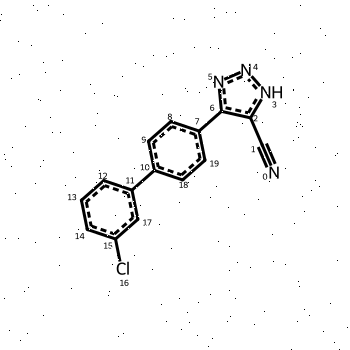 N#Cc1[nH]nnc1-c1ccc(-c2cccc(Cl)c2)cc1